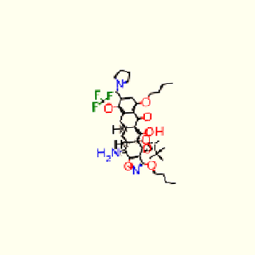 CCCCOc1cc(CN2CCCC2)c(OC(F)(F)F)c2c1C(=O)C1=C(O)[C@]3(O[Si](C)(C)C(C)(C)C)C(=O)c4c(OCCCC)noc4[C@@H](N)[C@@H]3C[C@@H]1C2